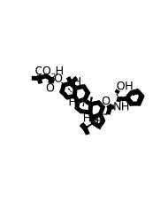 C=C(C)[C@@H]1CC[C@]2(CC(=O)N[C@H](CO)c3ccccc3)CC[C@]3(C)[C@H](CC[C@@H]4[C@@]5(C)CC[C@H](OC(=O)CC(C)(C)C(=O)O)C(C)(C)[C@@H]5CC[C@]43C)[C@@H]12